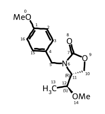 COc1ccc(CN2C(=O)OC[C@@H]2[C@H](C)OC)cc1